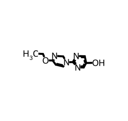 CCOC1=NCN(c2ncc(O)cn2)C=C1